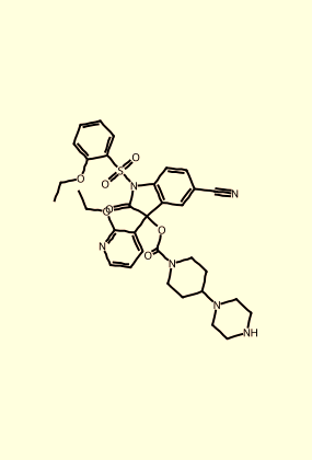 CCOc1ccccc1S(=O)(=O)N1C(=O)C(OC(=O)N2CCC(N3CCNCC3)CC2)(c2cccnc2OCC)c2cc(C#N)ccc21